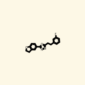 Fc1cccc(CCc2nnc(-c3ccc4c(c3)CCO4)o2)c1